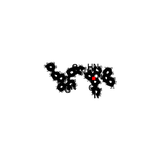 C1=CC(N(c2ccc3oc4cnccc4c3c2)c2cc3ccccc3c3ccccc23)=C2c3cccc(-[n+]4ccc5oc6ccc(N(c7ccc8ccc(-c9ccccc9)cc8c7)c7ccnc8oc9ccccc9c78)cc6c5c4)c3OC2N1